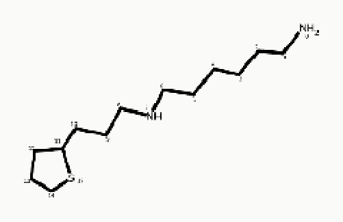 NCCCCCCNCCCC1CCCS1